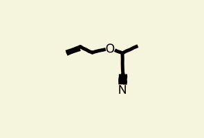 C=CCOC(C)C#N